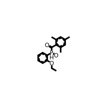 CCOc1ccccc1[PH](=O)C(=O)c1c(C)cc(C)cc1C